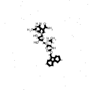 Cc1nc(N)c2c(C(N)=O)cn(C3O[C@H](COC(=O)[C@H](CC(C)C)NC(=O)OCC4c5ccccc5-c5ccccc54)[C@@H](O)[C@H]3O)c2n1